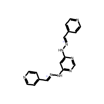 C(=N\Nc1cc(N/N=C/c2ccncc2)ncn1)/c1ccncc1